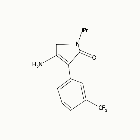 CC(C)N1CC(N)=C(c2cccc(C(F)(F)F)c2)C1=O